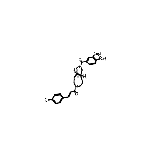 O=C(C=Cc1ccc(Cl)cc1)N1CC[C@@H]2CN(C(=O)c3ccc4[nH]nnc4c3)C[C@@H]2CC1